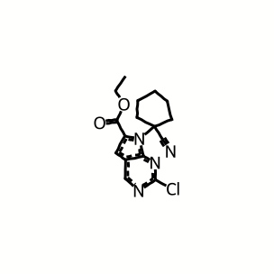 CCOC(=O)c1cc2cnc(Cl)nc2n1C1(C#N)CCCCC1